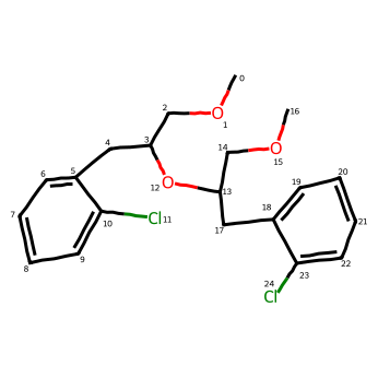 COCC(Cc1ccccc1Cl)OC(COC)Cc1ccccc1Cl